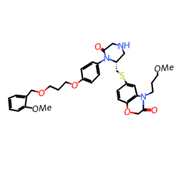 COCCCN1C(=O)COc2ccc(SC[C@H]3CNCC(=O)N3c3ccc(OCCCOCc4ccccc4OC)cc3)cc21